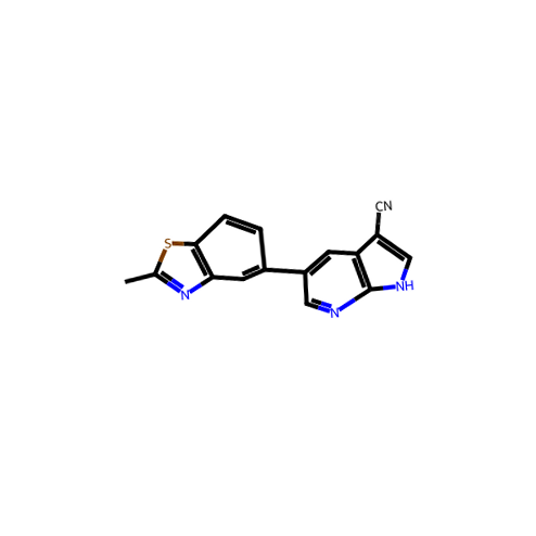 Cc1nc2cc(-c3cnc4[nH]cc(C#N)c4c3)ccc2s1